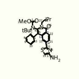 COC(=O)N(c1c(-c2ccccc2)c2cc(-c3nc(N)cs3)ccc2c(=O)n1CC(C)C)C(C)(C)C